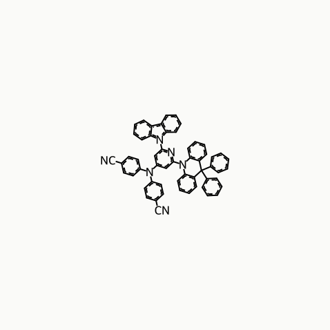 N#Cc1ccc(N(c2ccc(C#N)cc2)c2cc(N3c4ccccc4C(c4ccccc4)(c4ccccc4)c4ccccc43)nc(-n3c4ccccc4c4ccccc43)c2)cc1